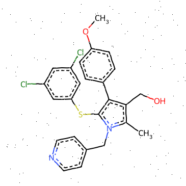 COc1ccc(-c2c(CO)c(C)n(Cc3ccncc3)c2Sc2cc(Cl)cc(Cl)c2)cc1